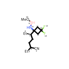 CCC(C#N)CC[C@@H](CC)C1(NBOC)CC(F)(F)C1